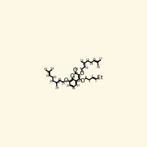 CCC=CCCOc1c(OC/C=C(\C)CCC=C(C)C)c(=O)oc2c(OC/C=C(\C)CCC=C(C)C)cccc12